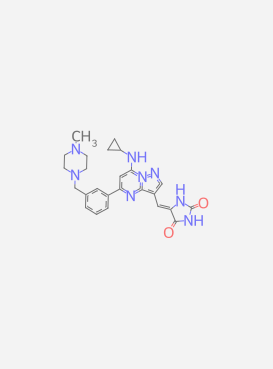 CN1CCN(Cc2cccc(-c3cc(NC4CC4)n4ncc(C=C5NC(=O)NC5=O)c4n3)c2)CC1